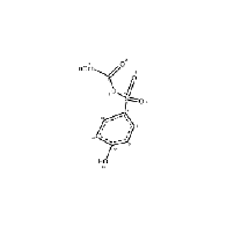 CCCCCCCCC(=O)OS(=O)(=O)c1ccc(O)cc1